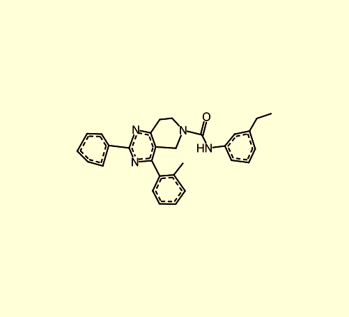 CCc1cccc(NC(=O)N2CCc3nc(-c4ccccc4)nc(-c4ccccc4C)c3C2)c1